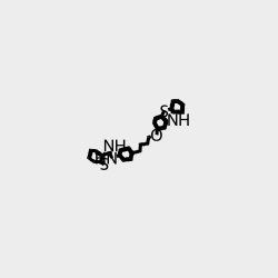 N=C(Nc1ccc(CCCCOc2ccc3c(c2)Nc2ccccc2S3)cc1)C1=CC=CCC1=S